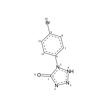 O=c1nn[nH]n1-c1ccc(Br)cc1